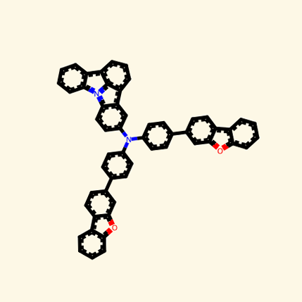 c1ccc2c(c1)oc1cc(-c3ccc(N(c4ccc(-c5ccc6c(c5)oc5ccccc56)cc4)c4ccc5c(c4)c4cccc6c7ccccc7n5c64)cc3)ccc12